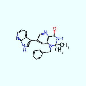 CC1(C)NC(=O)c2ncc(-c3c[nH]c4ncccc34)cc2N1Cc1ccccc1